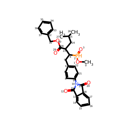 CO[PH](=O)C(Cc1ccc(N2C(=O)c3ccccc3C2=O)cc1)C(CC(C)C)C(=O)OCc1ccccc1